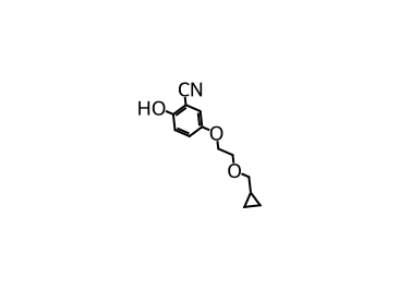 N#Cc1cc(OCCOCC2CC2)ccc1O